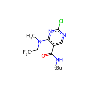 CN(CC(F)(F)F)c1nc(Cl)ncc1C(=O)NC(C)(C)C